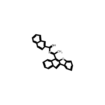 C/C(=N\C(=N)c1ccc2ccccc2c1)c1c2ccccc2cc2c1oc1ccccc12